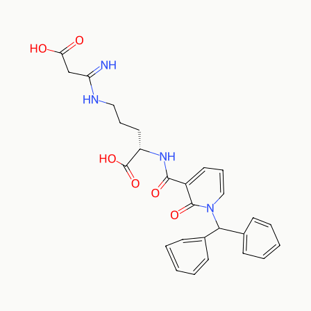 N=C(CC(=O)O)NCCC[C@H](NC(=O)c1cccn(C(c2ccccc2)c2ccccc2)c1=O)C(=O)O